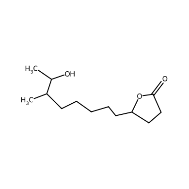 CC(O)C(C)CCCCCC1CCC(=O)O1